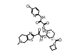 CN1CCc2nc(C(=O)N[C@@H]3C[C@@H](C(=O)N4CCC4)CC[C@@H]3NC(=O)C(=O)Nc3ccc(Cl)cn3)sc2C1